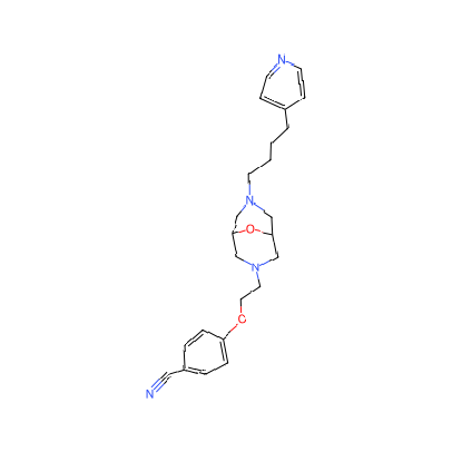 N#Cc1ccc(OCCN2CC3CN(CCCCc4ccncc4)CC(C2)O3)cc1